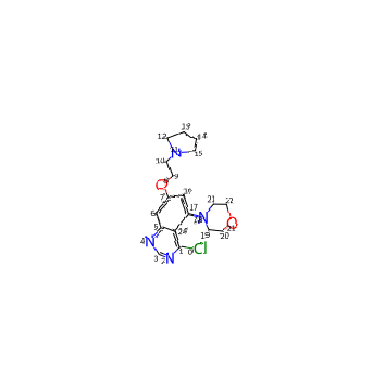 Clc1ncnc2cc(OCCN3CCCC3)cc(N3CCOCC3)c12